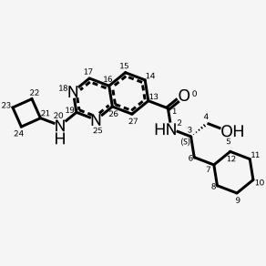 O=C(N[C@H](CO)CC1CCCCC1)c1ccc2cnc(NC3CCC3)nc2c1